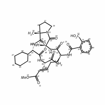 CCC[C@H](NC(=O)[C@H](CC/C=C/C(=O)OC)NC(=O)c1ccccc1C(=O)O)C(=O)N1CCC[C@@]1(C)C(=O)N[C@H](C(=O)N[C@@H](C)C(N)=O)C1CCCCC1